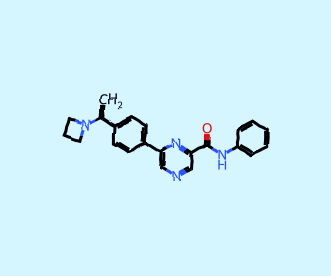 C=C(c1ccc(-c2cncc(C(=O)Nc3ccccc3)n2)cc1)N1CCC1